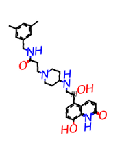 Cc1cc(C)cc(CNC(=O)CCN2CCC(NC[C@H](O)c3ccc(O)c4[nH]c(=O)ccc34)CC2)c1